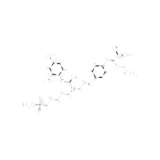 CCOC(Cc1ccc(OCCN(CCCCCC(C)(F)F)C(=O)Oc2ccc(Cl)cc2Cl)cc1)C(=O)O